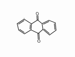 O=C1c2[c]cccc2C(=O)c2ccccc21